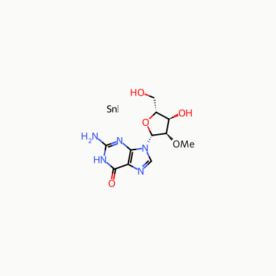 CO[C@@H]1[C@H](O)[C@@H](CO)O[C@H]1n1cnc2c(=O)[nH]c(N)nc21.[Sn]